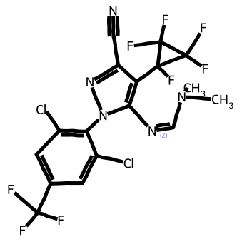 CN(C)/C=N\c1c(C2(F)C(F)(F)C2(F)F)c(C#N)nn1-c1c(Cl)cc(C(F)(F)F)cc1Cl